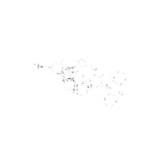 N#Cc1ccc2c(c1)c1ccccc1n2-c1cccc2c1C1(c3ccc(N4c5ccccc5Oc5ccccc54)cc3O2)c2cccnc2-c2ncccc21